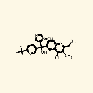 CCc1nc2ccc(C(O)(c3ccc(C(F)(F)F)nc3)c3cncn3C)cc2c(Cl)c1C